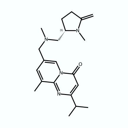 C=C1CC[C@@H](CN(C)Cc2cc(C)c3nc(C(C)C)cc(=O)n3c2)N1C